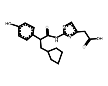 O=C(O)Cc1csc(NC(=O)C(CC2CCCC2)c2ccc(O)cc2)n1